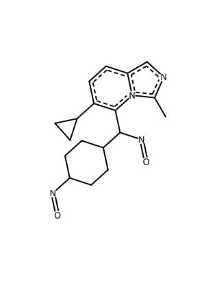 Cc1ncc2ccc(C3CC3)c(C(N=O)C3CCC(N=O)CC3)n12